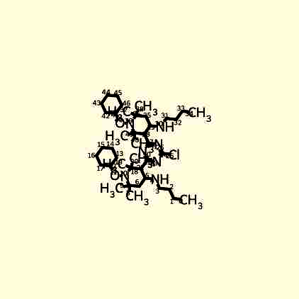 CCCCNC1CC(C)(C)N(OC2CCCCC2)C(C)(C)C1c1nc(Cl)nc(C2C(NCCCC)CC(C)(C)N(OC3CCCCC3)C2(C)C)n1